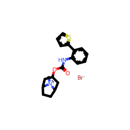 C[N+]1(C)C2CCC1CC(OC(=O)Nc1ccccc1-c1cccs1)C2.[Br-]